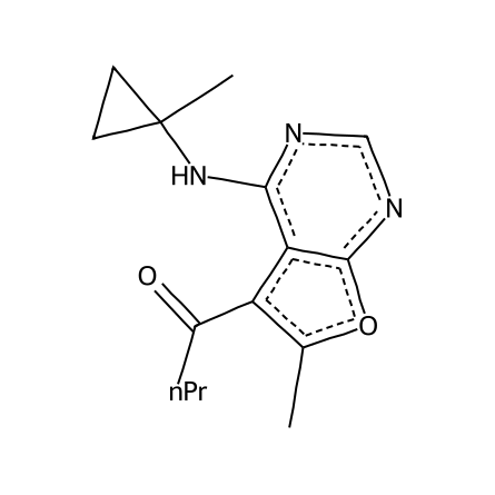 CCCC(=O)c1c(C)oc2ncnc(NC3(C)CC3)c12